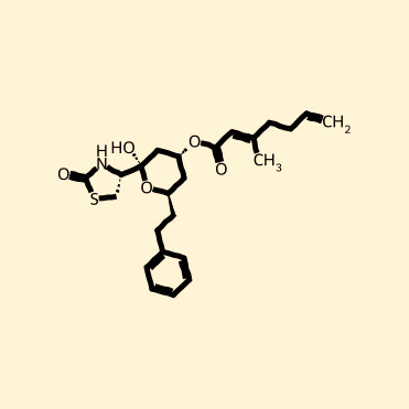 C=CCC/C(C)=C/C(=O)O[C@@H]1C[C@@H](CCc2ccccc2)O[C@@](O)([C@@H]2CSC(=O)N2)C1